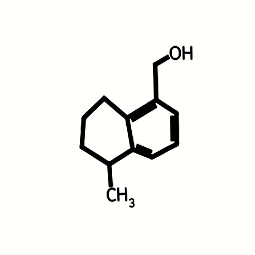 CC1CCCc2c(CO)cccc21